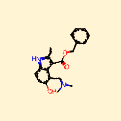 Cc1[nH]c2ccc(O)c(CN(C)C)c2c1C(=O)OCc1ccccc1